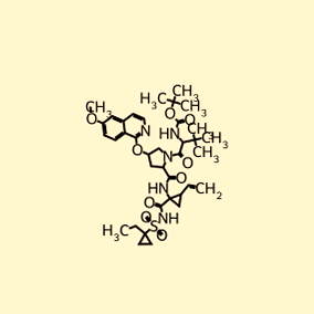 C=CC1CC1(NC(=O)C1CC(Oc2nccc3cc(OC)ccc23)CN1C(=O)C(NC(=O)OC(C)(C)C)C(C)(C)C)C(=O)NS(=O)(=O)C1(CC)CC1